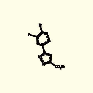 CCOC(=O)c1cn(-c2cnc(Br)c(F)c2)nn1